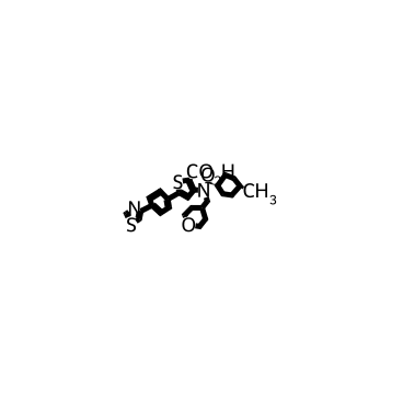 C[C@H]1CC[C@H](C(=O)N(CC2CCOCC2)c2cc(-c3ccc(-c4cscn4)cc3)sc2C(=O)O)CC1